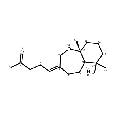 CC(=O)CC/C=C1/CC[C@@H]2C(C)(C)CCC[C@@]2(C)OC1